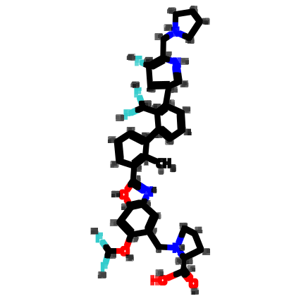 Cc1c(-c2nc3cc(CN4CCC[C@H]4C(=O)O)c(OC(F)F)cc3o2)cccc1-c1cccc(-c2cnc(CN3CCCC3)c(F)c2)c1C(F)F